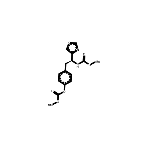 CC(C)(C)OC(=O)N[C@@H](Cc1ccc(OC(=O)OC(C)(C)C)cc1)c1cscn1